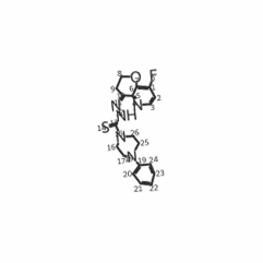 Fc1ccnc2c1OCC/C2=N/NC(=S)N1CCN(c2ccccc2)CC1